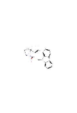 CC=C[C@@]1(C(=O)O)CCCN1C(=O)OCC1c2ccccc2-c2ccccc21